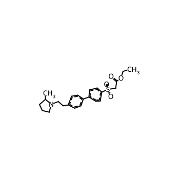 CCOC(=O)CS(=O)(=O)c1ccc(-c2ccc(CCN3CCCC3C)cc2)cc1